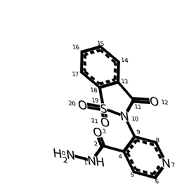 NNC(=O)c1ccncc1N1C(=O)c2ccccc2S1(=O)=O